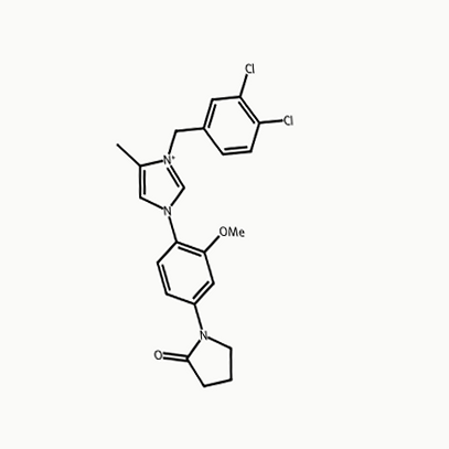 COc1cc(N2CCCC2=O)ccc1-n1cc(C)[n+](Cc2ccc(Cl)c(Cl)c2)c1